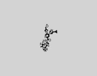 COCC1CN(c2cnc(C(=O)Nc3csc(-c4nncn4C(C)C(F)(F)F)n3)cc2-n2cnc(C3CC3)c2)C1